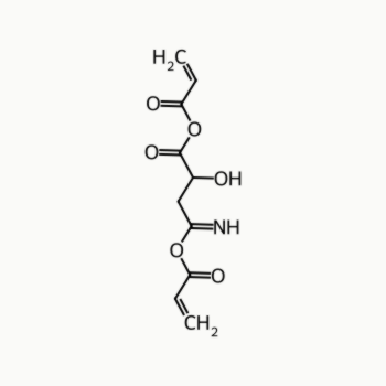 C=CC(=O)OC(=N)CC(O)C(=O)OC(=O)C=C